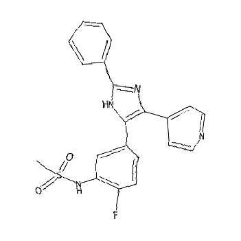 CS(=O)(=O)Nc1cc(-c2[nH]c(-c3ccccc3)nc2-c2ccncc2)ccc1F